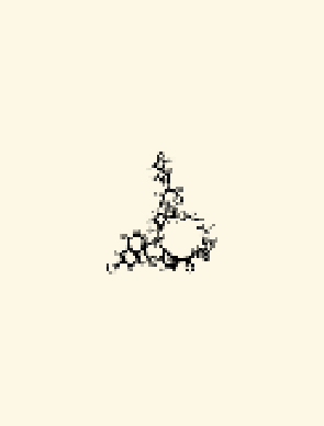 C[C@@H]1[C@@H](C)CCC[C@@H]([C@H]2OC[C@@H](N3CC4(COC4)C3)CO2)[C@@H]2CC[C@H]2CN2C[C@@]3(CCCc4cc(Cl)ccc43)COc3ccc(cc32)C(=O)NS1(=O)=O